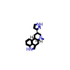 CN1C[C@H](c2cc[nH]n2)C[C@@H]2c3cccc4[nH]cc(c34)C[C@H]21